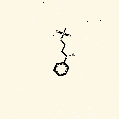 CC[C@@H](CCOS(C)(=O)=O)c1ccccc1